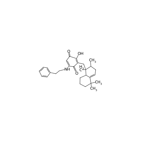 CC1CC=C2C(CCCC2(C)C)C1(C)CC1=C(O)C(=O)C=C(NCCc2ccccc2)C1=O